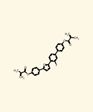 C=C(C)C(=O)Oc1ccc(-c2ccc(-c3ccc(-c4ccc(OC(=O)C(=C)C)cc4)o3)c(F)c2)cc1